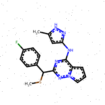 CSC(c1ccc(F)cc1)c1nc(Nc2cc(C)[nH]n2)c2cccn2n1